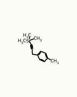 Cc1ccc(CC#C[Si](C)(C)C)cc1